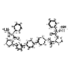 BN[C@H](C(=O)N1CCCC1C(=O)NC1CC=C(c2ccc(-c3cnc(C4CCCN4C(=O)[C@H](NB)c4ccccc4)[nH]3)cc2)CC1)c1ccccc1